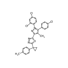 Cc1ccc(C2(c3nnc(-c4nn(-c5ccc(Cl)cc5Cl)c(-c5ccc(Cl)cc5)c4C)o3)CC2)cc1